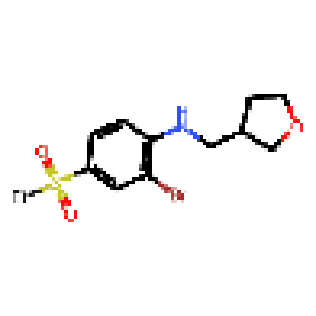 CCS(=O)(=O)c1ccc(NCC2CCOC2)c(Br)c1